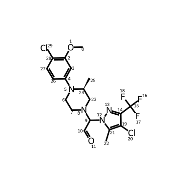 COc1cc(N2CCN(C(C=O)n3nc(C(F)(F)F)c(Cl)c3C)C[C@@H]2C)ccc1Cl